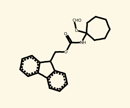 O=COC1(NC(=O)OCC2c3ccccc3-c3ccccc32)CCCCCC1